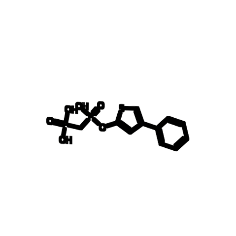 O=P(O)(O)CP(=O)(O)Oc1cc(-c2ccccc2)cs1